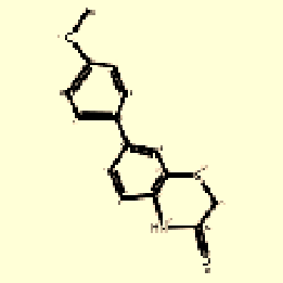 COc1ccc(-c2ccc3c(c2)SCC(=O)N3)cc1